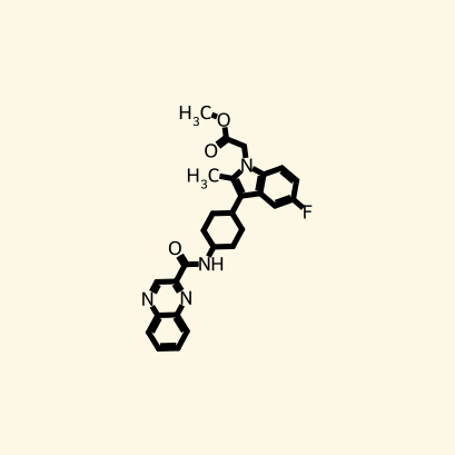 COC(=O)Cn1c(C)c(C2CCC(NC(=O)c3cnc4ccccc4n3)CC2)c2cc(F)ccc21